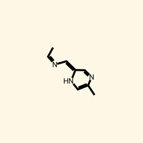 C/C=N\C=C1\C=NC(C)=CN1